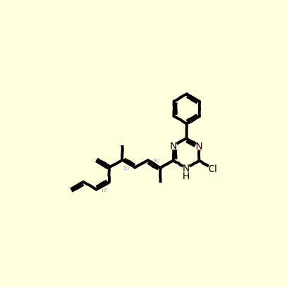 C=C/C=C\C(=C)/C(C)=C/C=C(\C)C1=NC(c2ccccc2)=NC(Cl)N1